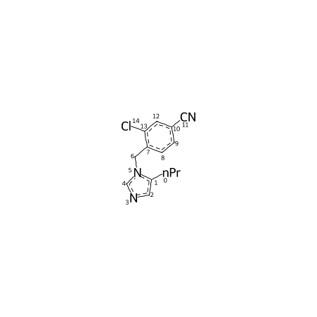 CCCc1cncn1Cc1ccc(C#N)cc1Cl